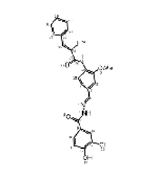 COc1cc(C=NNC(=O)c2ccc(O)c(Cl)c2)ccc1NC(=O)C(F)=Cc1ccccc1